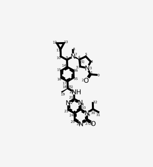 CC(=O)N1CC[C@H](N(C)C(CC2CC2)c2ccc([C@H](C)Nc3ncc4cnc(=O)n(C(C)C)c4n3)cc2)C1